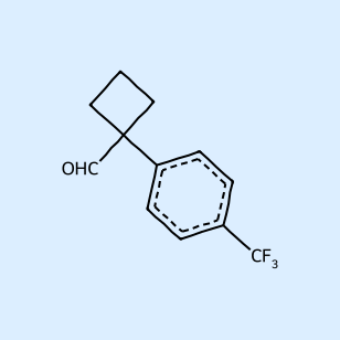 O=CC1(c2ccc(C(F)(F)F)cc2)CCC1